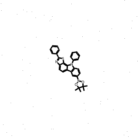 CC1(C)OB(c2ccc3c(c2)c2ccc4nc(-c5ccccc5)sc4c2n3-c2ccccc2)OC1(C)C